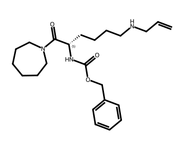 C=CCNCCCC[C@H](NC(=O)OCc1ccccc1)C(=O)N1CCCCCC1